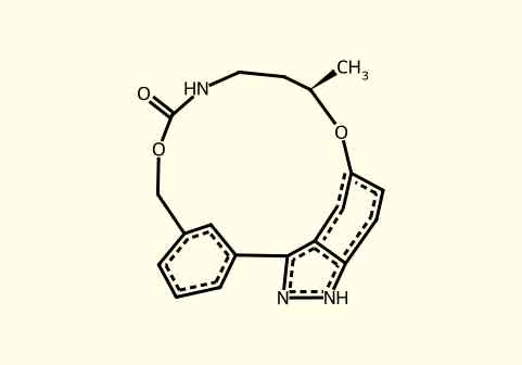 C[C@@H]1CCNC(=O)OCc2cccc(c2)-c2n[nH]c3ccc(cc23)O1